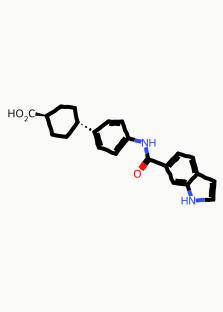 O=C(Nc1ccc([C@H]2CC[C@H](C(=O)O)CC2)cc1)c1ccc2cc[nH]c2c1